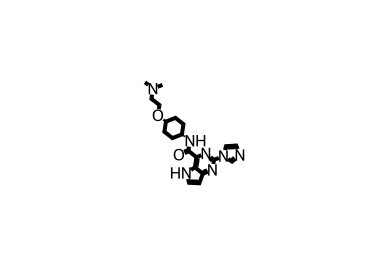 CN(C)CCO[C@H]1CC[C@H](NC(=O)c2nc(-n3ccnc3)nc3cc[nH]c23)CC1